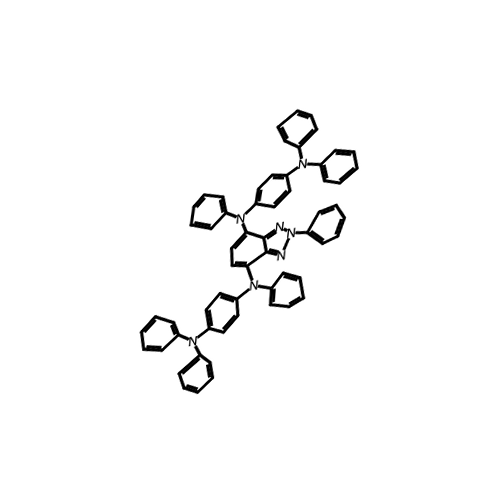 c1ccc(N(c2ccccc2)c2ccc(N(c3ccccc3)c3ccc(N(c4ccccc4)c4ccc(N(c5ccccc5)c5ccccc5)cc4)c4nn(-c5ccccc5)nc34)cc2)cc1